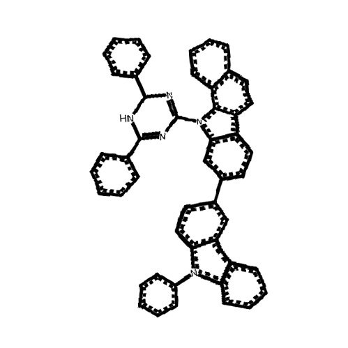 c1ccc(C2=NC(n3c4cc(-c5ccc6c(c5)c5ccccc5n6-c5ccccc5)ccc4c4ccc5ccccc5c43)=NC(c3ccccc3)N2)cc1